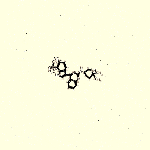 CC1(C)CC[C@H](Nc2nc(-c3c[nH]c4c(P(C)(C)=O)c(C#N)ccc34)c3ccccc3n2)CN1